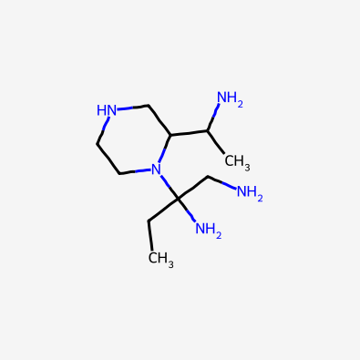 CCC(N)(CN)N1CCNCC1C(C)N